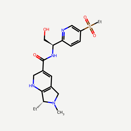 CC[C@@H]1C2=C(C=C(C(=O)N[C@@H](CO)c3ccc(S(=O)(=O)CC)cn3)CN2)CN1C